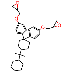 CC(C)(C1CCCCC1)C1CCC(c2ccc(OCC3CO3)cc2)(c2ccc(OCC3CO3)cc2)CC1